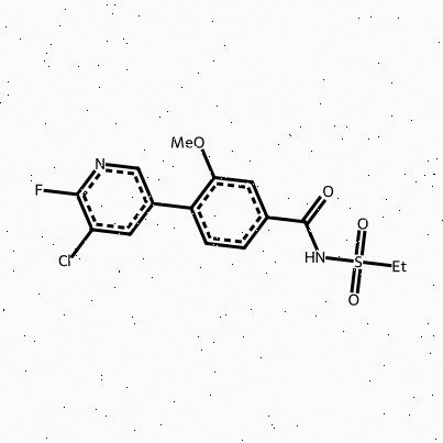 CCS(=O)(=O)NC(=O)c1ccc(-c2cnc(F)c(Cl)c2)c(OC)c1